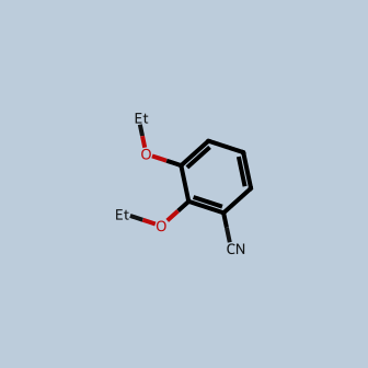 CCOc1cccc(C#N)c1OCC